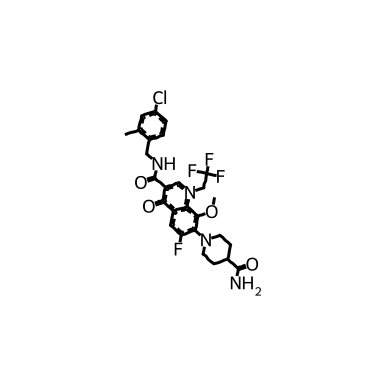 COc1c(N2CCC(C(N)=O)CC2)c(F)cc2c(=O)c(C(=O)NCc3ccc(Cl)cc3C)cn(CC(F)(F)F)c12